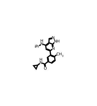 Cc1ccc(C(=O)NC2CC2)cc1-c1cc(NC(C)C)c2cn[nH]c2n1